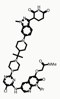 CNC(=O)COc1cc2cc(Nc3nc(N4CCN(C(C)(C)C5CCN(c6ccc7c(C8CCC(=O)NC8=O)nn(C)c7c6)CC5)CC4)ncc3Cl)cnc2n(C(C)C)c1=O